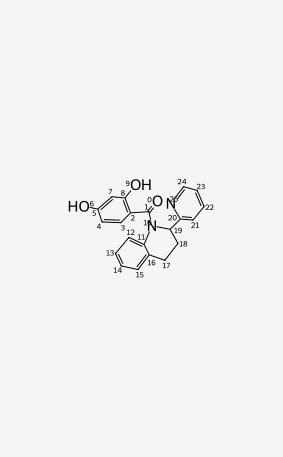 O=C(c1ccc(O)cc1O)N1c2ccccc2CCC1c1ccccn1